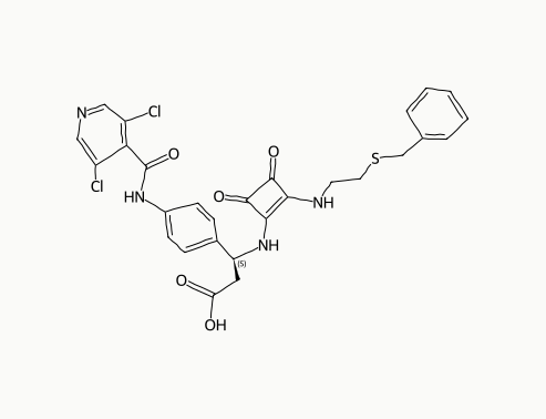 O=C(O)C[C@H](Nc1c(NCCSCc2ccccc2)c(=O)c1=O)c1ccc(NC(=O)c2c(Cl)cncc2Cl)cc1